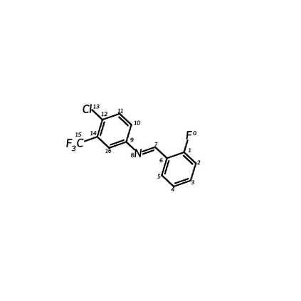 Fc1ccccc1C=Nc1ccc(Cl)c(C(F)(F)F)c1